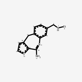 CCNCc1ccc2c(c1)N=C(N)c1sccc1C2